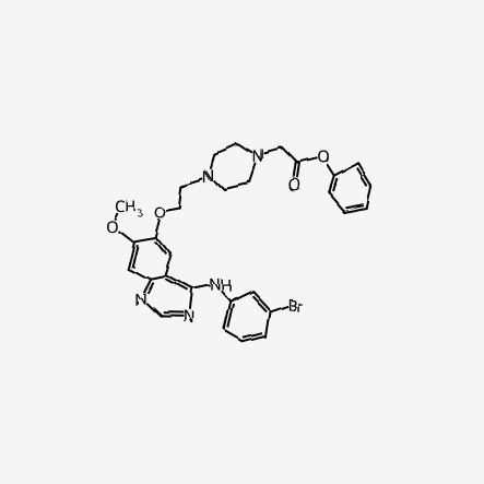 COc1cc2ncnc(Nc3cccc(Br)c3)c2cc1OCCN1CCN(CC(=O)Oc2ccccc2)CC1